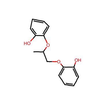 CC(COc1ccccc1O)Oc1ccccc1O